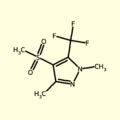 Cc1nn(C)c(C(F)(F)F)c1S(C)(=O)=O